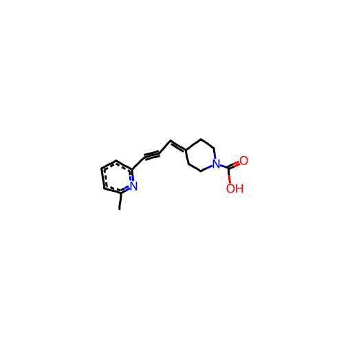 Cc1cccc(C#CC=C2CCN(C(=O)O)CC2)n1